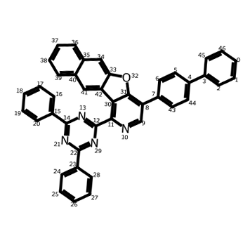 c1ccc(-c2ccc(-c3cnc(-c4nc(-c5ccccc5)nc(-c5ccccc5)n4)c4c3oc3cc5ccccc5cc34)cc2)cc1